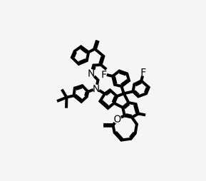 C=C1/C=C\C=C/Cc2c(C)cc3c(c2O1)-c1ccc(N(C/N=C\C(C)=C/C(=C)c2ccccc2)c2ccc(C(C)(C)C)cc2)cc1C3(c1cccc(F)c1)c1cccc(F)c1